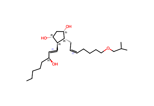 CCCCC[C@H](O)/C=C/[C@@H]1[C@@H](C/C=C\CCCCOCC(C)C)[C@@H](O)C[C@H]1O